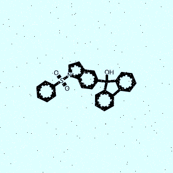 O=S(=O)(c1ccccc1)n1ccc2cc(C3(O)c4ccccc4-c4ccccc43)ccc21